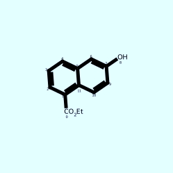 CCOC(=O)c1cccc2cc(O)ccc12